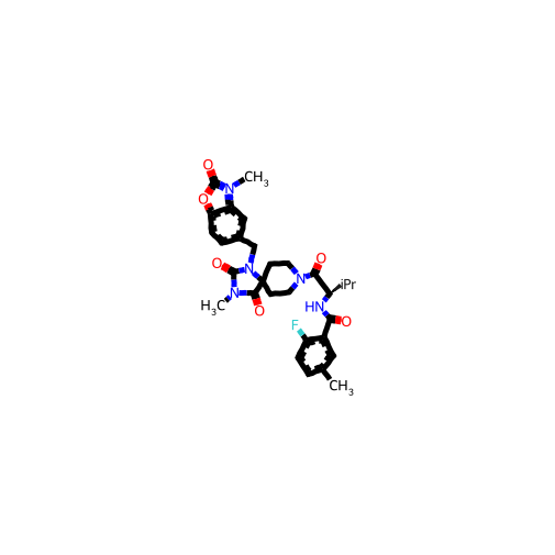 Cc1ccc(F)c(C(=O)N[C@@H](C(=O)N2CCC3(CC2)C(=O)N(C)C(=O)N3Cc2ccc3oc(=O)n(C)c3c2)C(C)C)c1